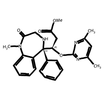 COC(=O)C[C@@H](Oc1nc(C)cc(C)n1)[C@@]1(c2ccccc2)NCC(=O)N(C)c2ccccc21